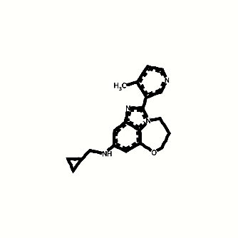 Cc1ccncc1-c1nc2cc(NCC3CC3)cc3c2n1CCCO3